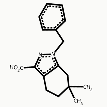 CC1(C)CCc2c(C(=O)O)nn(Cc3ccccc3)c2C1